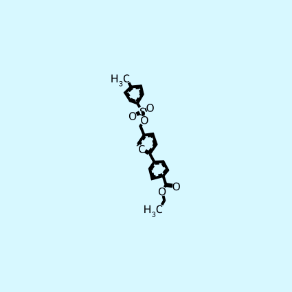 CCOC(=O)c1ccc(-c2ccc(COS(=O)(=O)c3ccc(C)cc3)cc2)cc1